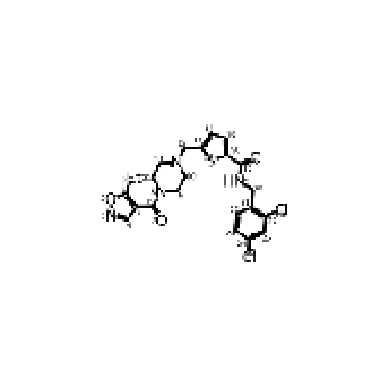 CCc1oncc1C(=O)N1CCN(Cc2ccc(C(=O)NCc3ccc(Cl)cc3Cl)s2)CC1